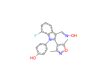 Cc1noc(C)c1-c1c(C=NO)c2cccc(F)c2n1-c1ccc(O)cc1